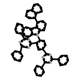 c1ccc(-c2nc(-c3ccccc3)nc(-c3ccc(-n4c5ccccc5c5c(-c6cccc7ccccc67)cccc54)c(-c4nc(-c5ccccc5)nc(-c5ccccc5)n4)c3)n2)cc1